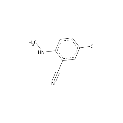 CNc1ccc(Cl)cc1C#N